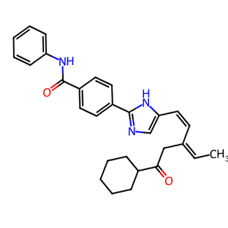 C/C=C(\C=C/c1cnc(-c2ccc(C(=O)Nc3ccccc3)cc2)[nH]1)CC(=O)C1CCCCC1